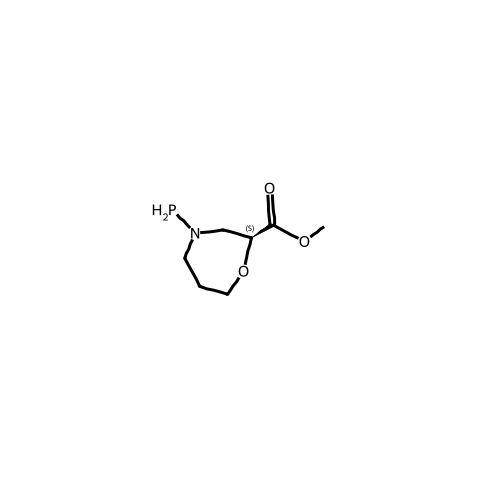 COC(=O)[C@@H]1CN(P)CCCO1